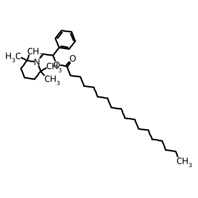 CCCCCCCCCCCCCCCCCC(=O)OC(CN1C(C)(C)CCCC1(C)C)c1ccccc1